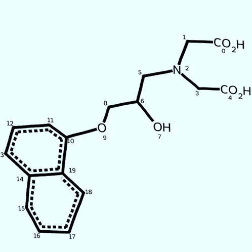 O=C(O)CN(CC(=O)O)CC(O)COc1cccc2ccccc12